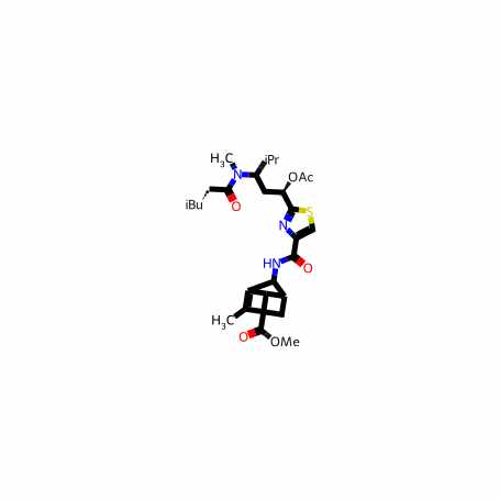 CC[C@@H](C)CC(=O)N(C)C(C[C@@H](OC(C)=O)c1nc(C(=O)NC2C3=C(C)C4(C(=O)OC)CC2C34)cs1)C(C)C